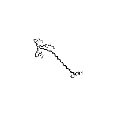 CCCC[N+](CCCC)(CCCC)CCCCCCCCCCCCCCCCCCCCC(=O)O